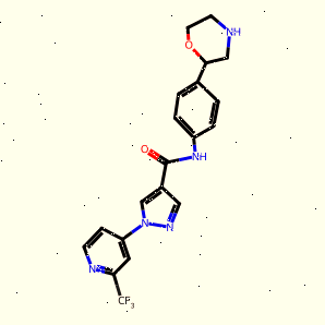 O=C(Nc1ccc(C2CNCCO2)cc1)c1cnn(-c2ccnc(C(F)(F)F)c2)c1